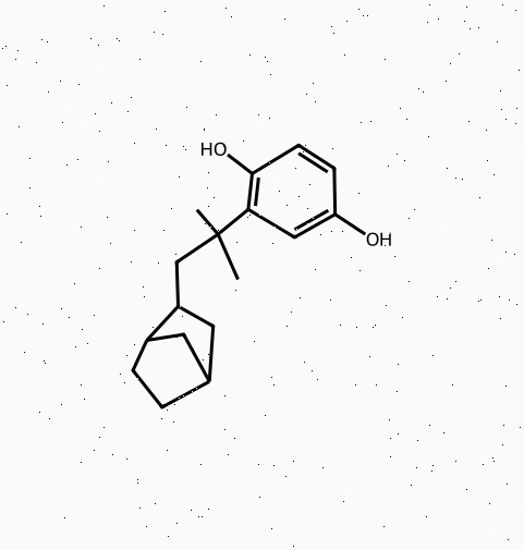 CC(C)(CC1CC2CCC1C2)c1cc(O)ccc1O